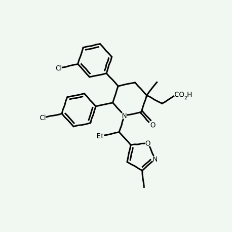 CCC(c1cc(C)no1)N1C(=O)C(C)(CC(=O)O)CC(c2cccc(Cl)c2)C1c1ccc(Cl)cc1